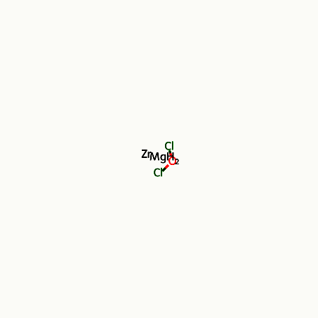 ClOCl.[MgH2].[Zr]